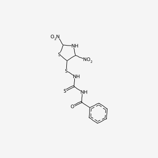 O=C(NC(=S)NSC1SC([N+](=O)[O-])NC1[N+](=O)[O-])c1ccccc1